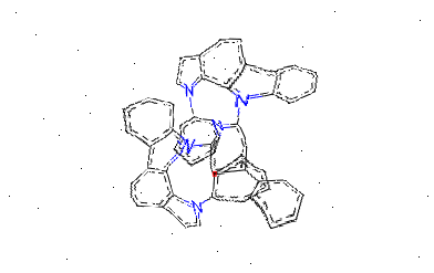 c1ccc(-c2cc(-n3c4ccccc4c4ccc5ccn(-c6ccccc6)c5c43)nc(-n3c4ccccc4c4ccc5ccn(-c6ccccc6)c5c43)c2)cc1